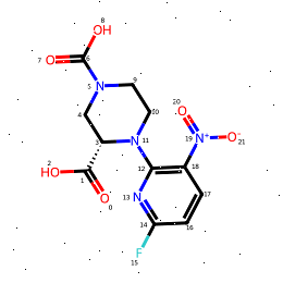 O=C(O)[C@@H]1CN(C(=O)O)CCN1c1nc(F)ccc1[N+](=O)[O-]